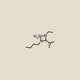 CCCCN1[SiH2]N(CC)C1N(C)C